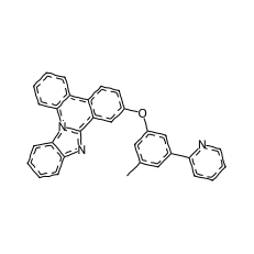 Cc1cc(Oc2ccc3c4ccccc4n4c5ccccc5nc4c3c2)cc(-c2ccccn2)c1